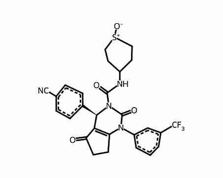 N#Cc1ccc([C@@H]2C3=C(CCC3=O)N(c3cccc(C(F)(F)F)c3)C(=O)N2C(=O)NC2CC[S+]([O-])CC2)cc1